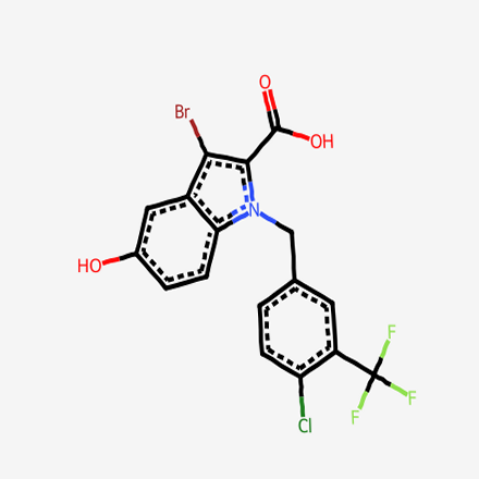 O=C(O)c1c(Br)c2cc(O)ccc2n1Cc1ccc(Cl)c(C(F)(F)F)c1